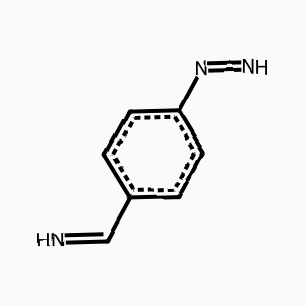 N=Cc1ccc(N=N)cc1